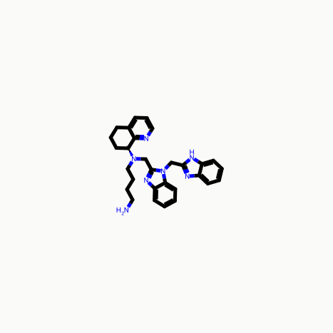 NCCCCN(Cc1nc2ccccc2n1Cc1nc2ccccc2[nH]1)[C@H]1CCCc2cccnc21